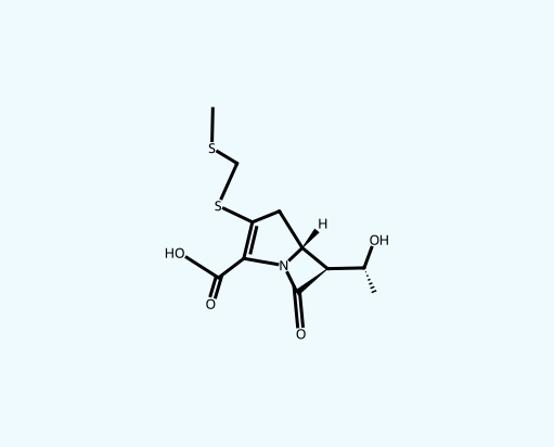 CSCSC1=C(C(=O)O)N2C(=O)[C@H]([C@@H](C)O)[C@H]2C1